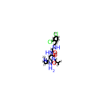 CC(C)CCN(CC(N)=O)C(=O)C(CC[C@@H]1CCCN1C)NC(=O)CNCCc1ccc(Cl)cc1Cl